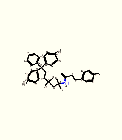 C=C(CCc1ccc(C)cc1)NC(C)(C)CC(C)(C)CCC(c1ccccc1)(c1ccc(CC)cc1)c1ccc(CC)cc1